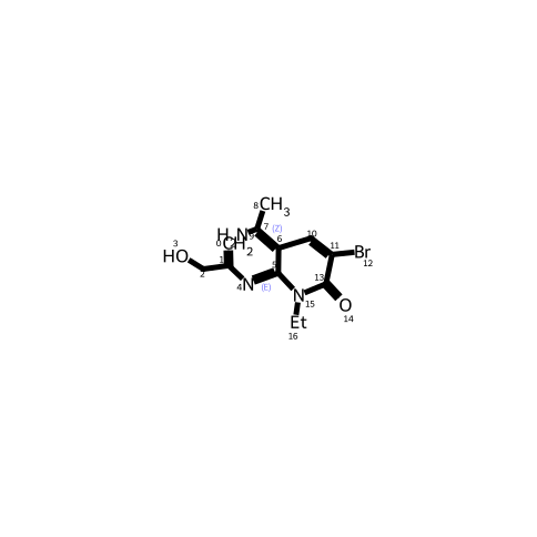 C=C(CO)/N=C1\C(=C(\C)N)C=C(Br)C(=O)N1CC